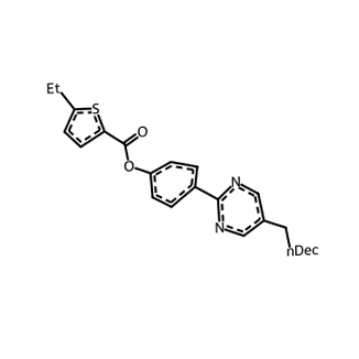 CCCCCCCCCCCc1cnc(-c2ccc(OC(=O)c3ccc(CC)s3)cc2)nc1